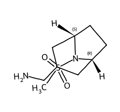 CS(=O)(=O)N1[C@@H]2CC[C@H]1CC(CN)C2